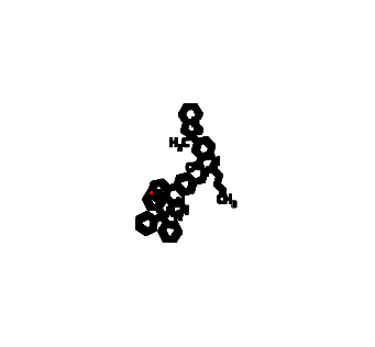 CCCCc1nc2ccc(C3(C)CC4CCCCN4O3)cc2c(=O)n1Cc1ccc(-c2ccccc2-c2nnnn2C(c2ccccc2)(c2ccccc2)c2ccccc2)cc1